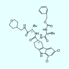 CCC(C)[C@H](NC(=O)OCc1ccccc1)C(=O)N[C@@]1(C(=O)N[C@H](C(=O)NCC2CCOCC2)C(C)CC)CCc2[nH]c3c(Cl)cc(Cl)cc3c2C1